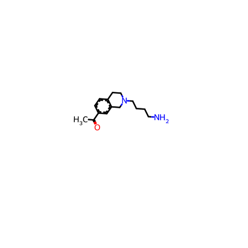 CC(=O)c1ccc2c(c1)CN(CCCCN)CC2